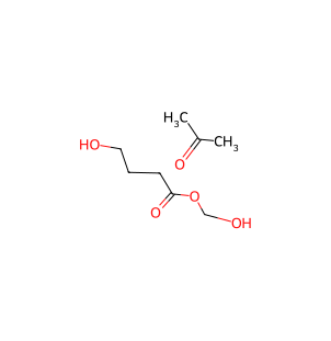 CC(C)=O.O=C(CCCO)OCO